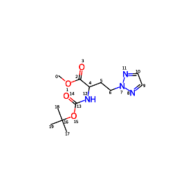 COC(=O)C(CCn1nccn1)NC(=O)OC(C)(C)C